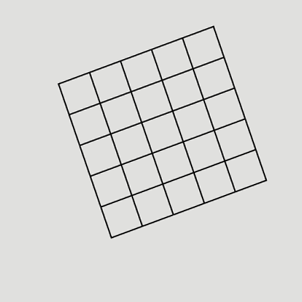 C1C2C3C4C5CC6C7C8C9CC%10C%11C%12C%13CC%14C%15C%16C1C21C32C43C56C74C85C9%10C%116C%127C%14%13C%158C%161C21C34C56C871